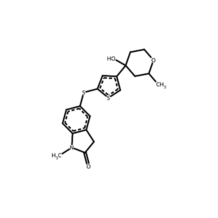 CC1CC(O)(c2csc(Sc3ccc4c(c3)CC(=O)N4C)c2)CCO1